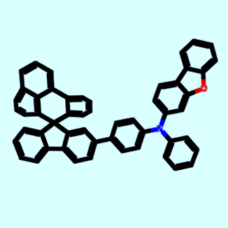 c1ccc(N(c2ccc(-c3ccc4c(c3)C3(c5ccccc5-4)c4ccccc4-c4cccc5cccc3c45)cc2)c2ccc3c(c2)oc2ccccc23)cc1